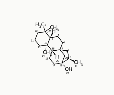 C[C@@H]1C[C@]23CC[C@H]4C(C)(C)CCC[C@]4(C)[C@H]2CC[C@@]1(O)C3